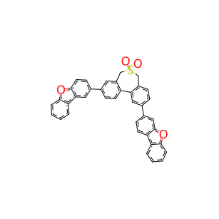 O=S1(=O)Cc2cc(-c3ccc4oc5ccccc5c4c3)ccc2-c2cc(-c3ccc4c(c3)oc3ccccc34)ccc2C1